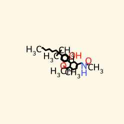 CCCCCCC(C)(C)c1cc(O)c2c(c1)OC(C)(C)[C@H]1CC=C(CNC(C)=O)C[C@H]21